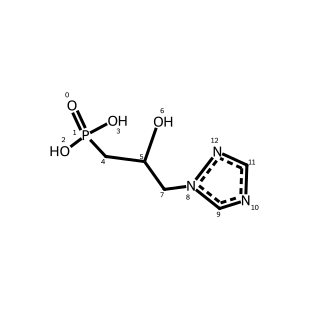 O=P(O)(O)CC(O)Cn1cncn1